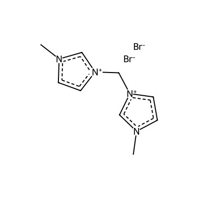 Cn1cc[n+](C[n+]2ccn(C)c2)c1.[Br-].[Br-]